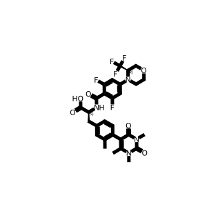 Cc1cc(C[C@H](NC(=O)c2c(F)cc(N3CCOC[C@@H]3C(F)(F)F)cc2F)C(=O)O)ccc1-c1c(C)n(C)c(=O)n(C)c1=O